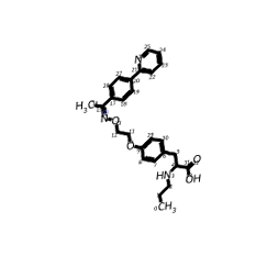 CCCNC(Cc1ccc(OCCO/N=C(/C)c2ccc(-c3ccccn3)cc2)cc1)C(=O)O